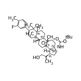 C=C(CO)[C@@H]1CC[C@]2(NC(=O)OC(C)(C)C)CC[C@]3(C)[C@H](CC[C@@H]4[C@@]5(C)CC=C(c6ccc(C)c(F)c6)C(C)(C)[C@@H]5CC[C@]43C)[C@@H]12